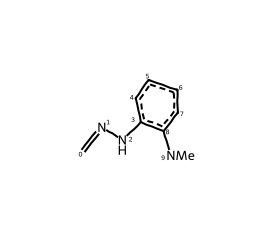 C=NNc1ccccc1NC